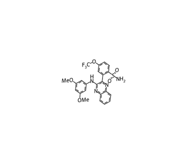 COc1cc(Nc2nc3ccccc3nc2-c2cc(OC(F)(F)F)ccc2S(N)(=O)=O)cc(OC)c1